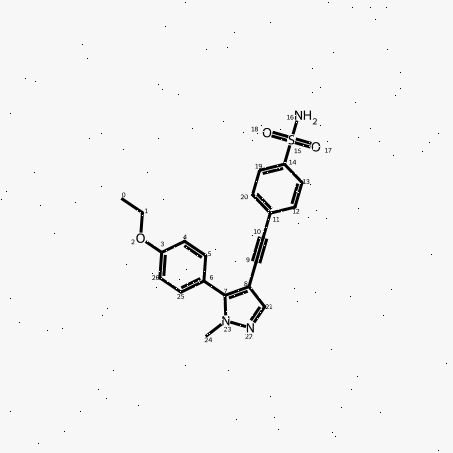 CCOc1ccc(-c2c(C#Cc3ccc(S(N)(=O)=O)cc3)cnn2C)cc1